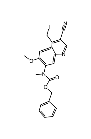 COc1cc2c(CI)c(C#N)cnc2cc1N(C)C(=O)OCc1ccccc1